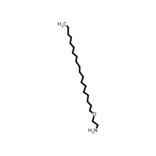 CCCCCCCCCCCCCCCCCCCOCCN